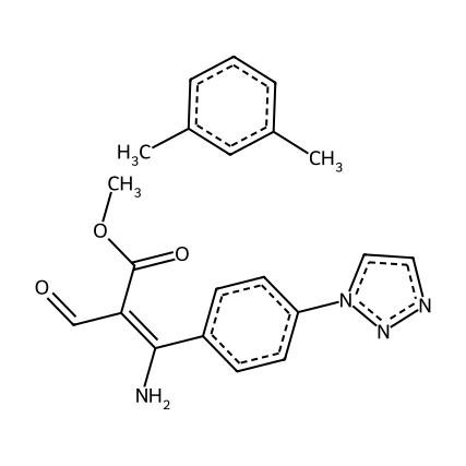 COC(=O)C(C=O)=C(N)c1ccc(-n2ccnn2)cc1.Cc1cccc(C)c1